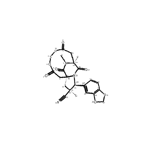 CN1C(=O)[C@]23CC(=O)OSOC(=O)C[C@@]1(C)C(=O)N2[C@@H](c1ccc2c(c1)OCO2)[C@@](C)(C#N)C3